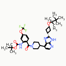 CC(C)(C)OC(=O)Nc1cc(OC(F)(F)F)ccc1C(=O)N1CCC(c2ccnc3[nH]c([C@H]4C[C@H](O[Si](C)(C)C(C)(C)C)C4)nc23)CC1